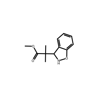 COC(=O)C(C)(C)C1NOc2ccccc21